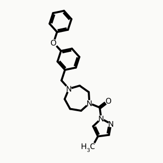 Cc1cnn(C(=O)N2CCCN(Cc3cccc(Oc4ccccc4)c3)CC2)c1